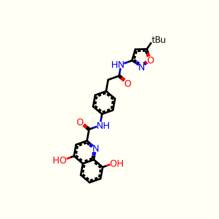 CC(C)(C)c1cc(NC(=O)Cc2ccc(NC(=O)c3cc(O)c4cccc(O)c4n3)cc2)no1